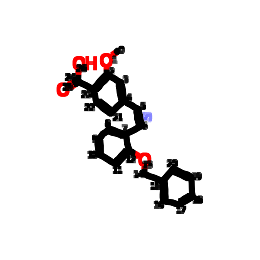 COc1cc(/C=C\c2ccccc2OCc2ccccc2)ccc1C(=O)O